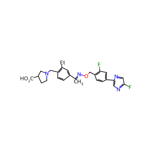 CCc1cc(C(C)=NOCc2ccc(-c3cnc(F)cn3)cc2F)ccc1CN1CCC(C(=O)O)C1